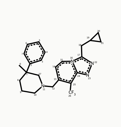 CC1(c2ccccc2)CCCN(Cc2ccn3c(CC4CC4)nnc3c2C(F)(F)F)C1